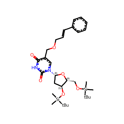 CC(C)(C)[Si](C)(C)OC[C@H]1O[C@@H](n2cc(COCC=Cc3ccccc3)c(=O)[nH]c2=O)C[C@@H]1O[Si](C)(C)C(C)(C)C